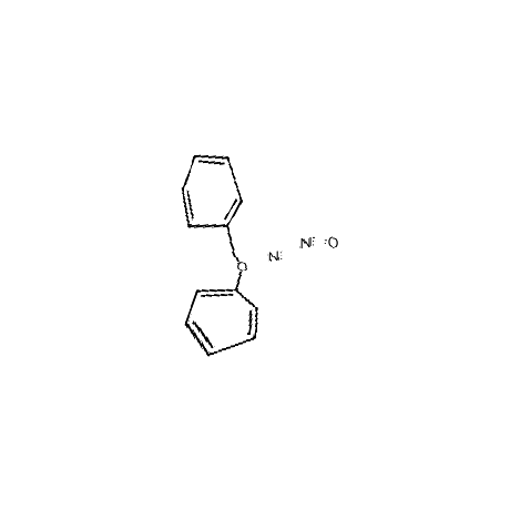 [N].[N].[O].c1ccc(Oc2ccccc2)cc1